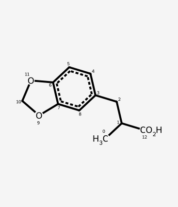 CC(Cc1ccc2c(c1)OCO2)C(=O)O